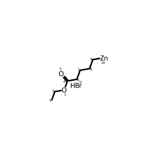 Br.CCOC(=O)CCC[CH2][Zn]